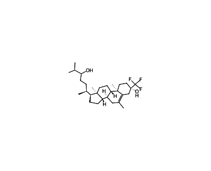 CC1=C2C[C@](O)(C(F)(F)F)CC[C@]2(C)[C@H]2CC[C@@]3(C)[C@@H](CC[C@H]3[C@@H](C)CCC(O)C(C)C)[C@@H]2C1